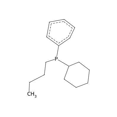 CCCCP(c1ccccc1)C1CCCCC1